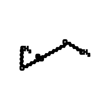 CCCCCCCCC1OC1CCCCCCCCCCCCOC(=O)CCCCCCCC1OC1CCCCCCCC